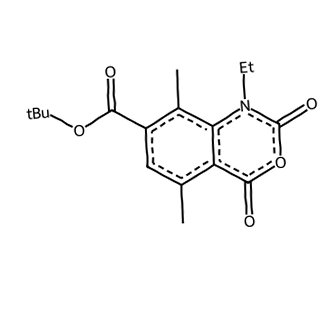 CCn1c(=O)oc(=O)c2c(C)cc(C(=O)OC(C)(C)C)c(C)c21